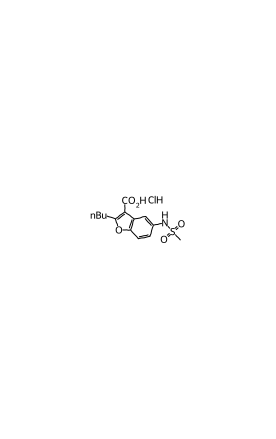 CCCCc1oc2ccc(NS(C)(=O)=O)cc2c1C(=O)O.Cl